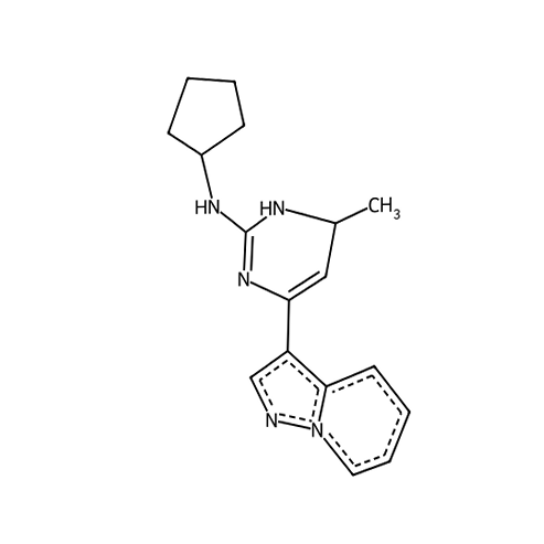 CC1C=C(c2cnn3ccccc23)N=C(NC2CCCC2)N1